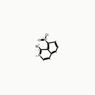 O=[N+]([O-])c1cccc2ccnc(Br)c12